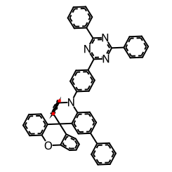 c1ccc(-c2ccc3c(c2)C2(c4ccccc4Oc4ccccc42)c2ccccc2N3c2ccc(-c3nc(-c4ccccc4)nc(-c4ccccc4)n3)cc2)cc1